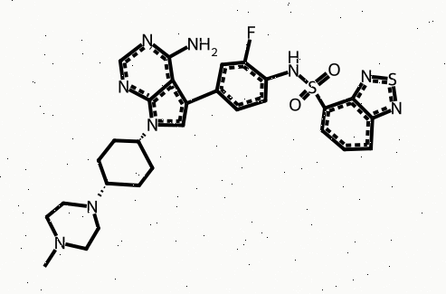 CN1CCN([C@H]2CC[C@@H](n3cc(-c4ccc(NS(=O)(=O)c5cccc6nsnc56)c(F)c4)c4c(N)ncnc43)CC2)CC1